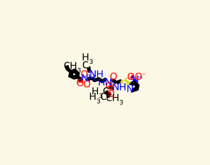 CCC(=O)NC(CCCCNC(=O)C(CSSc1ncccc1[N+](=O)[O-])NC(=O)OC(C)(C)C)C(=O)NC(=O)c1ccc(CC)cc1